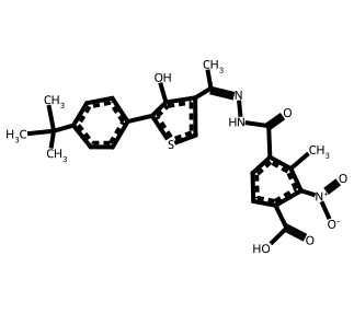 CC(=NNC(=O)c1ccc(C(=O)O)c([N+](=O)[O-])c1C)c1csc(-c2ccc(C(C)(C)C)cc2)c1O